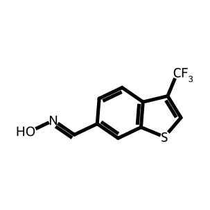 O/N=C/c1ccc2c(C(F)(F)F)csc2c1